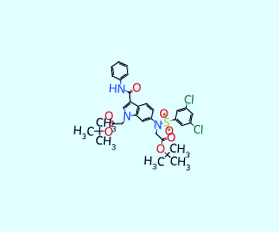 CC(C)(C)OC(=O)CN(c1ccc2c(C(=O)Nc3ccccc3)cn(CC(=O)OC(C)(C)C)c2c1)S(=O)(=O)c1cc(Cl)cc(Cl)c1